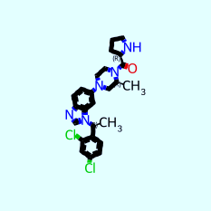 C[C@@H]1CN(c2ccc3ncn([C@H](C)c4ccc(Cl)cc4Cl)c3c2)CCN1C(=O)[C@H]1CCCN1